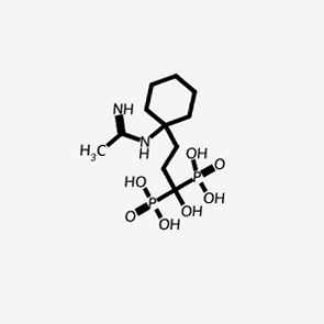 CC(=N)NC1(CCC(O)(P(=O)(O)O)P(=O)(O)O)CCCCC1